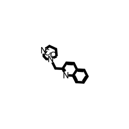 c1ccc2nc(CN3CCN4CCC3CC4)ccc2c1